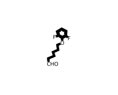 O=CCCCCCOc1c(F)cccc1F